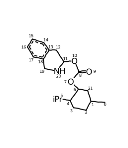 CC1CCC(C(C)C)C(OC(=O)OC2Cc3ccccc3CN2)C1